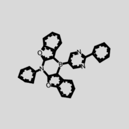 c1ccc(-c2ncc(B3c4c(oc5ccccc45)N(c4ccccc4)c4oc5ccccc5c43)cn2)cc1